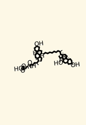 C[C@H](CCCCCCCC[C@@H]1CC2C[C@@H](O)CC[C@@]2(C)[C@@H]2CC[C@]3(C)C(CC[C@H]3[C@@H](C)CCC(=O)NCCS(=O)(=O)O)[C@@H]12)[C@H]1CCC2[C@@H]3[C@@H](O)CC4C[C@H](O)CC[C@]4(C)[C@H]3CC[C@@]21C